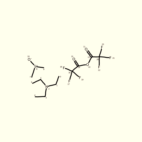 CCN(CC)CC.C[S+](C)[O-].O=C(OC(=O)C(F)(F)F)C(F)(F)F